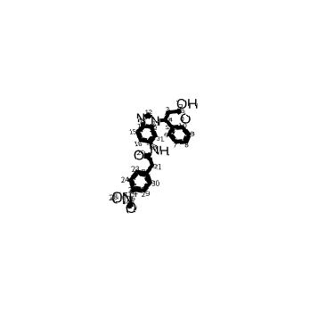 O=C(O)CC(c1ccccc1)n1cnc2ccc(NC(=O)Cc3ccc([N+](=O)[O-])cc3)cc21